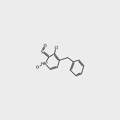 O=S=C1C(Cl)=C(Cc2ccccc2)C=C[NH+]1[O-]